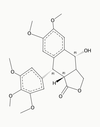 COc1cc2c(cc1OC)[C@H](O)C1COC(=O)[C@@H]1[C@@H]2c1cc(OC)c(OC)c(OC)c1